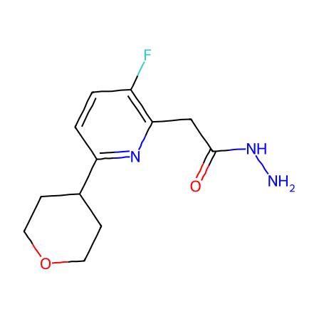 NNC(=O)Cc1nc(C2CCOCC2)ccc1F